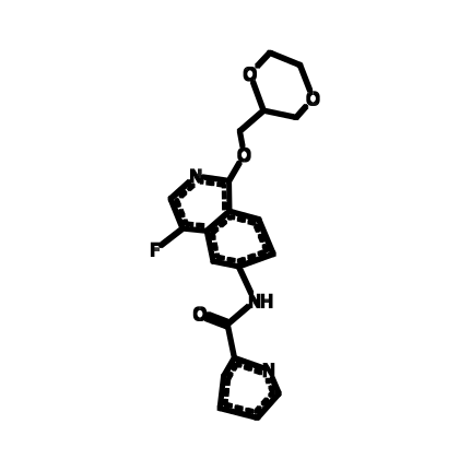 O=C(Nc1ccc2c(OCC3COCCO3)ncc(F)c2c1)c1ccccn1